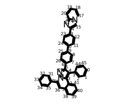 c1ccc(-c2c(-c3ccc(-c4ccc(-c5cn6ccccc6n5)cc4)cc3)nn3c(-c4ccccc4)cc4ccccc4c23)cc1